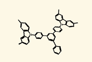 Cc1ccc2c(c1)c1cc(C)ccc1n2-c1ccc(-c2cc(-c3ccccc3)cc(-c3ccc(-n4c5ccc(C)cc5c5cc(C)ccc54)cc3)c2)cc1